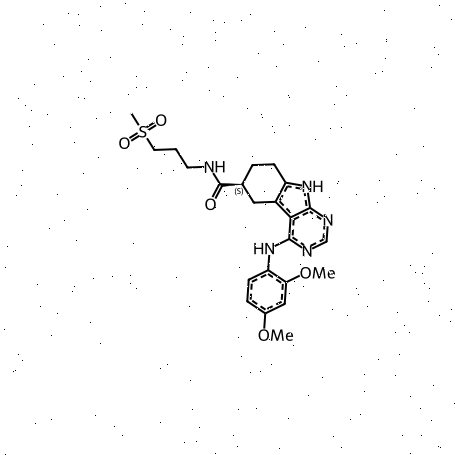 COc1ccc(Nc2ncnc3[nH]c4c(c23)C[C@@H](C(=O)NCCCS(C)(=O)=O)CC4)c(OC)c1